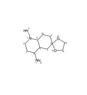 CCCN1CCC(N)C2CC3(CCC21)OCCO3